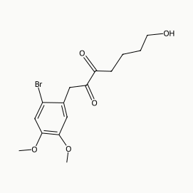 COc1cc(Br)c(CC(=O)C(=O)CCCCO)cc1OC